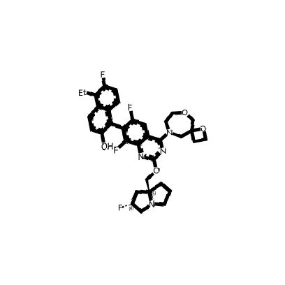 CCc1c(F)ccc2c(-c3c(F)cc4c(N5CCOCC6(CCO6)C5)nc(OC[C@@]56CCCN5C[C@H](F)C6)nc4c3F)c(O)ccc12